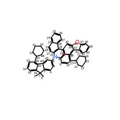 CC1(C)c2ccc(N(c3ccc(C4CCCCC4)cc3)c3ccc4ccccc4c3-c3ccc4c(c3)oc3ccccc34)cc2-c2c(C3CCCCC3)cccc21